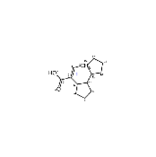 C/C=C(/C(=O)O)C1CCCC1C1CCCC1